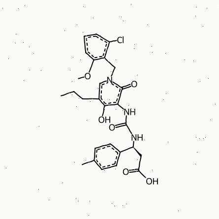 CCCc1cn(Cc2c(Cl)cccc2OC)c(=O)c(NC(=O)N[C@@H](CC(=O)O)c2ccc(C)cc2)c1O